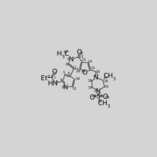 CCC(=O)Nc1cc(-c2cn(C)c(=O)c3cc(CN4CCN(S(C)(=O)=O)C[C@H]4C)oc23)ccn1